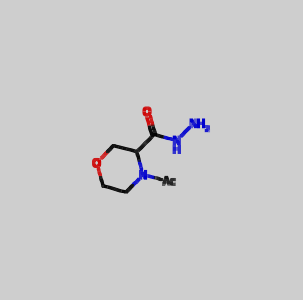 CC(=O)N1CCOCC1C(=O)NN